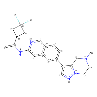 C=C(Nc1cc2cc(-c3cnn4c3CN(C)CC4)ccc2cn1)C1CC(F)(F)C1